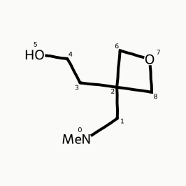 CNCC1(CCO)COC1